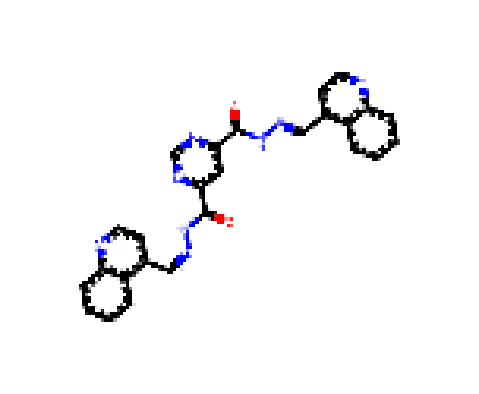 O=C(N/N=C\c1ccnc2ccccc12)c1cc(C(=O)N/N=C/c2ccnc3ccccc23)ncn1